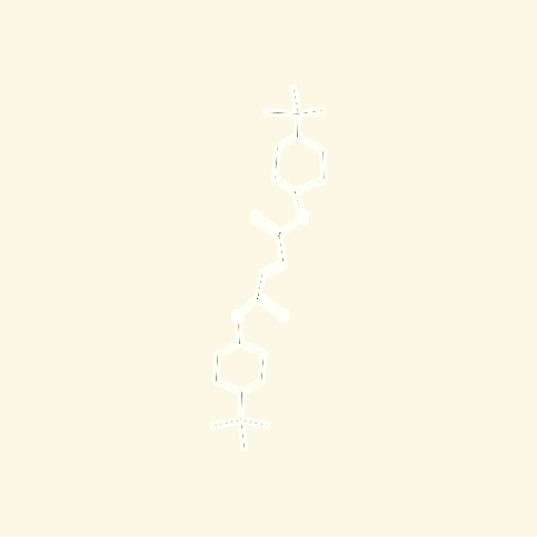 CC(C)(C)C1CCC(OC(=O)C=CC(=O)OC2CCC(C(C)(C)C)CC2)CC1